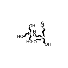 CC=CC[N+](CCO)(CCO)CCO.Cl.OCCN(CCO)CCO.[Cl-]